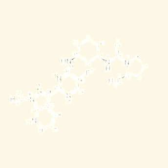 C[C@@H]1CCCN1C(=O)N[C@@H]1CCC[C@H](Nc2nc(-c3nn(C)c4ncccc34)ncc2F)C1